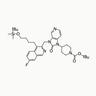 CC(C)(C)OC(=O)N1CCC(n2c(=O)n(Cc3ncc4cc(F)ccc4c3CCCCO[Si](C)(C)C(C)(C)C)c3cnccc32)CC1